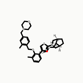 Cc1cc(CN2CCOCC2)ccc1COc1c(C)cccc1-c1csc(N2C[C@H]3CC[C@@H](C2)[C@H]3COCO)n1